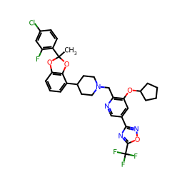 CC1(c2ccc(Cl)cc2F)Oc2cccc(C3CCN(Cc4ncc(-c5noc(C(F)(F)F)n5)cc4OC4CCCC4)CC3)c2O1